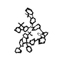 CC(C)(C)c1ccc2c(c1)C(c1ccccc1)(c1ccc(-c3cccc4c3oc3c(-c5ccc(N(c6ccc7c(c6)C(C)(C)c6ccccc6-7)c6ccc7c(c6)C(C)(C)c6ccccc6-7)cc5)cccc34)cc1)c1cc(-c3ccccc3)ccc1-2